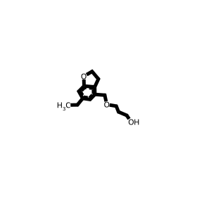 CCc1cc(COCCCO)c2c(c1)OCC2